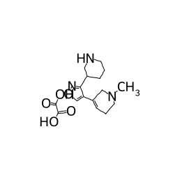 CN1CCC=C(c2conc2C2CCCNC2)C1.O=C(O)C(=O)O